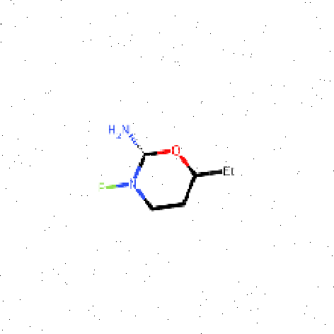 CCC1CCN(F)[C@H](N)O1